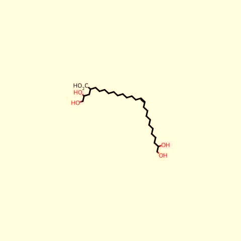 O=C(O)C(CCCCCCCCCC/C=C\CCCCCCCCCC(O)CO)CC(O)CO